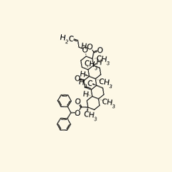 C=CCO[C@H]1CC[C@@]2(C)[C@@H](CC[C@]3(C)[C@@H]2C(=O)C=C2[C@@H]4C[C@@](C)(C(=O)OC(c5ccccc5)c5ccccc5)CC[C@]4(C)CC[C@]23C)[C@]1(C)C(=O)O